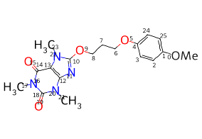 COc1ccc(OCCCOc2nc3c(c(=O)n(C)c(=O)n3C)n2C)cc1